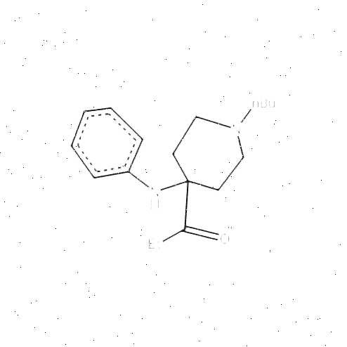 CCCCN1CCC(Nc2ccccc2)(C(=O)CC)CC1